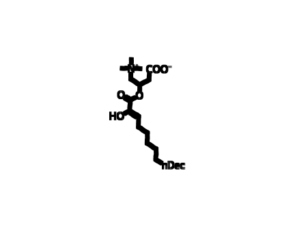 CCCCCCCCCCCCCCCC=C(O)C(=O)OC(CC(=O)[O-])C[N+](C)(C)C